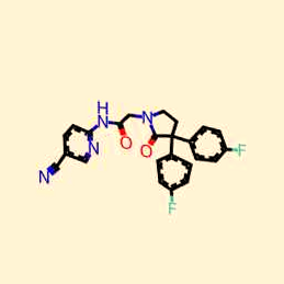 N#Cc1ccc(NC(=O)CN2CCC(c3ccc(F)cc3)(c3ccc(F)cc3)C2=O)nc1